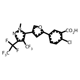 Cn1nc(C(F)(F)C(F)(F)F)c(C(F)(F)F)c1-c1coc(-c2ccc(Cl)c(C(=O)O)c2)c1